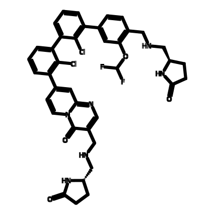 O=C1CC[C@H](CNCc2ccc(-c3cccc(-c4cccc(-c5ccn6c(=O)c(CNC[C@@H]7CCC(=O)N7)cnc6c5)c4Cl)c3Cl)cc2OC(F)F)N1